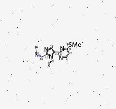 C=Cn1c(-c2nccc(SC)n2)cnc1/C=N\C